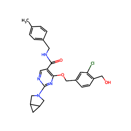 Cc1ccc(CNC(=O)c2cnc(N3CC4CC4C3)nc2OCc2ccc(CO)c(Cl)c2)cc1